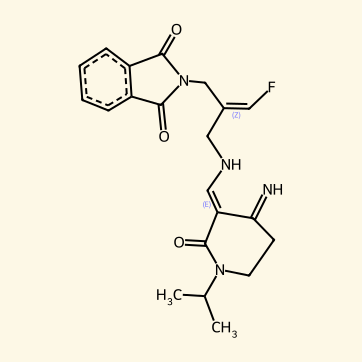 CC(C)N1CCC(=N)/C(=C\NC/C(=C/F)CN2C(=O)c3ccccc3C2=O)C1=O